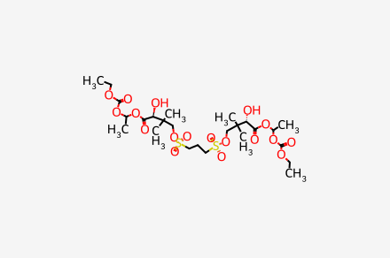 CCOC(=O)OC(C)OC(=O)[C@@H](O)C(C)(C)COS(=O)(=O)CCCS(=O)(=O)OCC(C)(C)[C@H](O)C(=O)OC(C)OC(=O)OCC